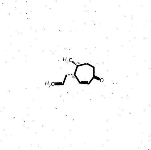 C=CC[C@H]1C=CC(=O)CC[C@@H]1C